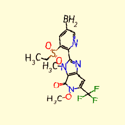 Bc1cnc(-c2nc3cc(C(F)(F)F)n(OC)c(=O)c3n2C)c(S(=O)(=O)CC)c1